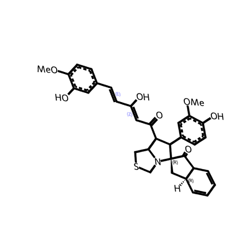 COc1ccc(/C=C/C(O)=C/C(=O)C2C3CSCN3[C@]3(C[C@@H]4C=CC=CC4C3=O)C2c2ccc(O)c(OC)c2)cc1O